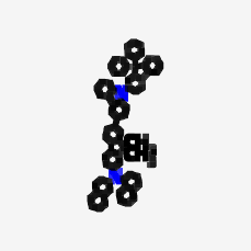 CC1(C)c2cc(-c3ccc4c(c3)c3ccccc3n4-c3ccc4c(c3)C(c3ccccc3)(c3ccccc3)c3ccccc3-4)ccc2-c2ccc(N(c3ccc4ccccc4c3)c3cccc4ccccc34)cc21